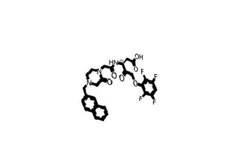 O=C(O)C[C@H](NC(=O)CN1CCN(Cc2ccc3ccccc3c2)CC1=O)C(=O)COc1c(F)c(F)cc(F)c1F